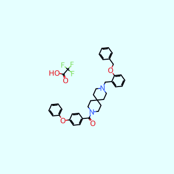 O=C(O)C(F)(F)F.O=C(c1ccc(Oc2ccccc2)cc1)N1CCC2(CCN(Cc3ccccc3OCc3ccccc3)CC2)CC1